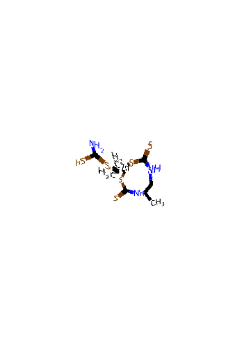 C=C.CC1CNC(=S)[S][Zn][S]C(=S)N1.NC(=S)S